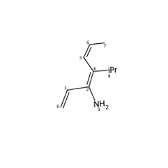 C=C/C(N)=C(\C=C/C)C(C)C